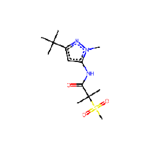 Cn1nc(C(C)(C)C)cc1NC(=O)C(C)(C)S(C)(=O)=O